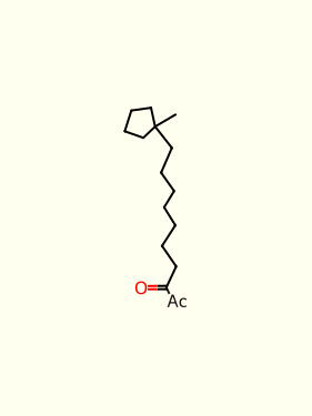 CC(=O)C(=O)CCCCCCCC1(C)CCCC1